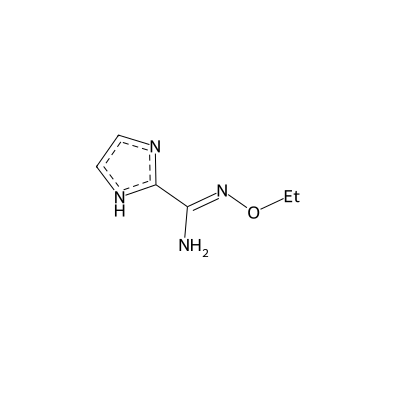 CCON=C(N)c1ncc[nH]1